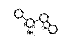 Nc1nc(-c2ccccc2)cc(-c2cccc3c2oc2ccccc23)n1